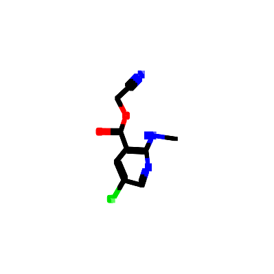 CNc1ncc(Cl)cc1C(=O)OCC#N